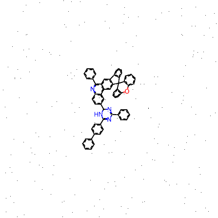 c1ccc(C2=NC(c3ccc4nc(-c5ccccc5)c5cc6c(cc5c4c3)C3(c4ccccc4Oc4ccccc43)c3ccccc3-6)NC(c3ccc(-c4ccccc4)cc3)=N2)cc1